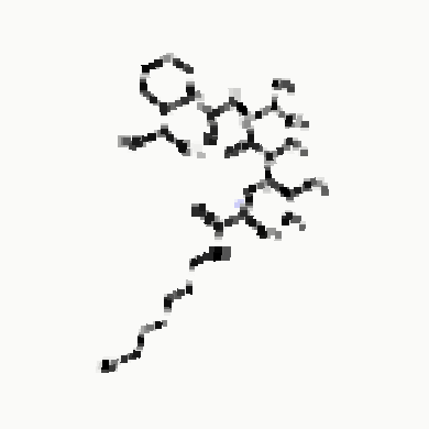 C/C(=C\[C@H](C(C)C)N(C)C(=O)[C@@H](NC(=O)[C@H]1CCCCN1C(C)C)C(C)C)C(=O)NCCCCCCO